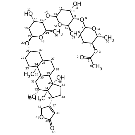 CC(=O)O[C@H]1CCC(O[C@H]2[C@@H](O)CC(O[C@H]3[C@@H](O)C[C@H](O[C@H]4CC[C@@]5(C)C(CCC6C5C[C@@H](O)[C@]5(C)[C@@H](C7=CC(=O)OC7)CC[C@]65O)C4)O[C@@H]3C)O[C@@H]2C)O[C@@H]1C